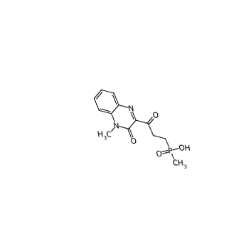 Cn1c(=O)c(C(=O)CCP(C)(=O)O)nc2ccccc21